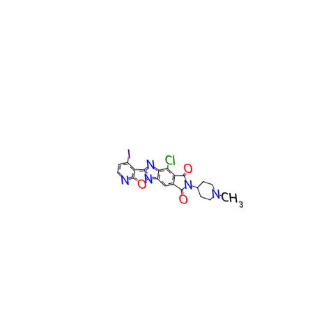 CN1CCC(N2C(=O)c3cc4c(nc5c6c(I)ccnc6on45)c(Cl)c3C2=O)CC1